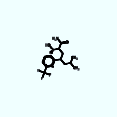 CC(C)CC(CC(C(N)=O)S(=O)O)c1cccc(C(F)(F)F)n1